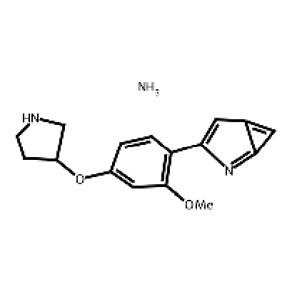 COc1cc(OC2CCNC2)ccc1-c1cc2cc-2n1.N